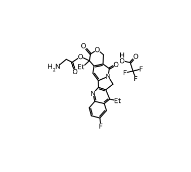 CCc1c2c(nc3ccc(F)cc13)-c1cc3c(c(=O)n1C2)COC(=O)C3(CC)OC(=O)CN.O=C(O)C(F)(F)F